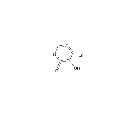 O=c1occcc1O.[Cr]